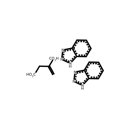 C=C(CC(=O)O)C(=O)O.c1ccc2[nH]nnc2c1.c1ccc2[nH]nnc2c1